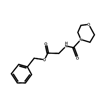 O=C(CNC(=O)N1CCOCC1)OCc1ccccc1